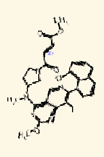 COC(=O)/C=C/C(=O)N1CCC(N(C)c2nc(OC)nc3c(F)c(-c4cccc5cccc(Cl)c45)ncc23)C1